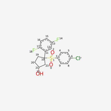 O=S(=O)(c1ccc(Cl)cc1)C1(c2cc(F)ccc2F)CCC(O)C1